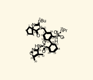 CCCCC1=NC2(CCCC2)C(=O)N1Cc1ccc(-c2ccccc2S(=O)(=O)Nc2noc(C)c2C)c(NS(=O)(=O)CCC)c1